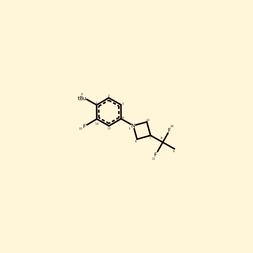 CC(C)(C)c1ccc(N2CC(C(C)(F)F)C2)cc1F